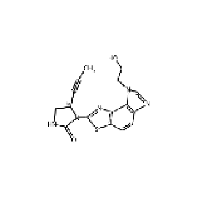 CC#C[C@@H]1CNC(=O)N1c1nc2c(ccc3ncn(CCO)c32)s1